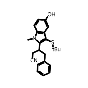 Cn1c(C(CC#N)Cc2ccccc2)c(SC(C)(C)C)c2cc(O)ccc21